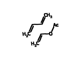 C=CC=C.C=COC(C)=O